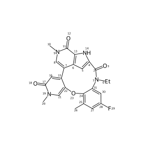 CCN1C(=O)c2cc3c(cn(C)c(=O)c3[nH]2)-c2cc(=O)n(C)cc2Oc2c(C)cc(F)cc21